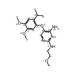 COCCNc1ncc(Oc2cc(OC)c(OC)cc2C(C)C)c(N)n1